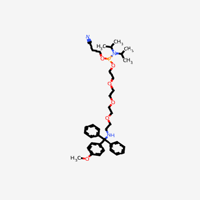 COc1ccc(C(NCCOCCOCCOCCOP(OCCC#N)N(C(C)C)C(C)C)(c2ccccc2)c2ccccc2)cc1